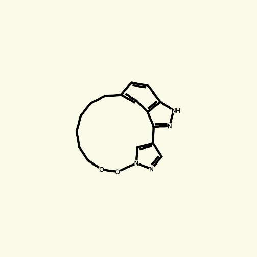 c1cc2[nH]nc3c2cc1CCCCCCOOn1cc-3cn1